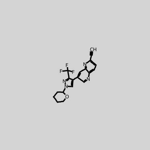 C#Cc1ccc2ncc(-c3cn(C4CCCCO4)nc3C(F)(F)F)cc2n1